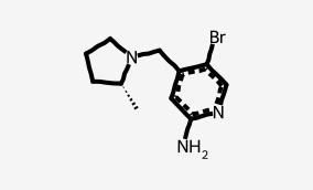 C[C@@H]1CCCN1Cc1cc(N)ncc1Br